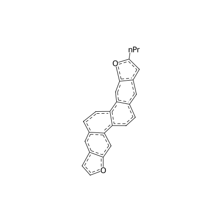 CCCc1cc2cc3ccc4c5cc6occc6cc5ccc4c3cc2o1